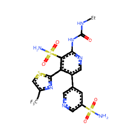 CCNC(=O)Nc1ncc(-c2cncc(S(N)(=O)=O)c2)c(-c2nc(C(F)(F)F)cs2)c1S(N)(=O)=O